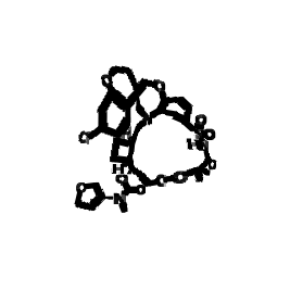 CN(C(=O)O[C@H]1/C=C/COC(C)(C)C(=O)NS(=O)(=O)c2ccc3c(c2)N(C[C@@H]2CC[C@H]21)C[C@@]1(CCOc2cc(Cl)ccc21)CO3)[C@@H]1CCOC1